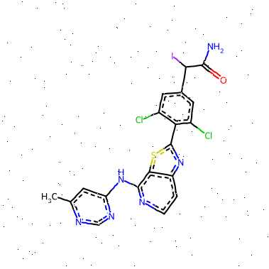 Cc1cc(Nc2nccc3nc(-c4c(Cl)cc(C(I)C(N)=O)cc4Cl)sc23)ncn1